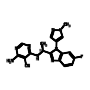 C[C@H](Nc1ncnc(N)c1C#N)c1nc2ccc(F)cc2n1-c1cnn(C)c1